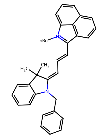 CCCC[N+]1=C(/C=C/C=C2/N(Cc3ccccc3)c3ccccc3C2(C)C)c2cccc3cccc1c23